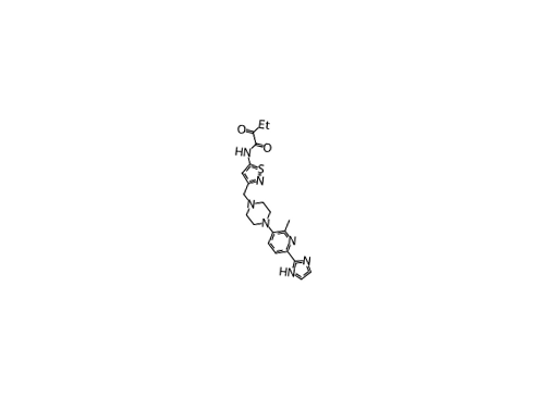 CCC(=O)C(=O)Nc1cc(CN2CCN(c3ccc(-c4ncc[nH]4)nc3C)CC2)ns1